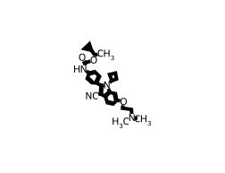 CC(OC(=O)Nc1ccc(-c2c(C#N)c3ccc(OCCN(C)C)cc3n2C2CCC2)cc1)C1CC1